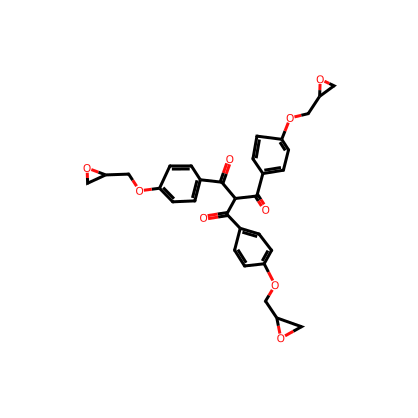 O=C(c1ccc(OCC2CO2)cc1)C(C(=O)c1ccc(OCC2CO2)cc1)C(=O)c1ccc(OCC2CO2)cc1